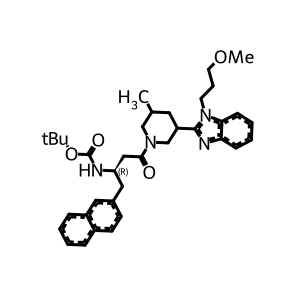 COCCCn1c(C2CC(C)CN(C(=O)C[C@@H](Cc3ccc4ccccc4c3)NC(=O)OC(C)(C)C)C2)nc2ccccc21